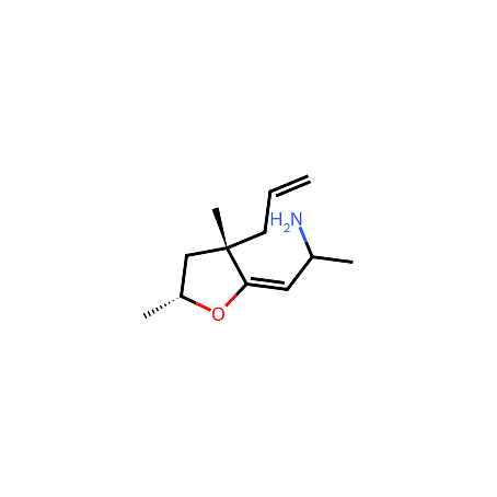 C=CC[C@@]1(C)C[C@@H](C)O/C1=C/C(C)N